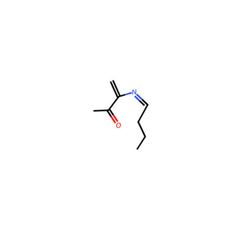 C=C(/N=C\CCC)C(C)=O